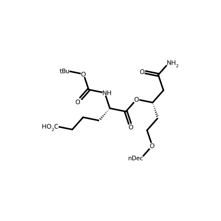 CCCCCCCCCCOCC[C@@H](CC(N)=O)OC(=O)[C@H](CCCC(=O)O)NC(=O)OC(C)(C)C